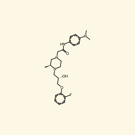 C[C@H]1CN(CC(=O)Nc2ccc(N(C)C)cc2)CCN1C[C@H](O)COc1ccccc1F